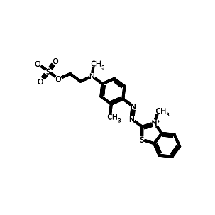 Cc1cc(N(C)CCOS(=O)(=O)[O-])ccc1N=Nc1sc2ccccc2[n+]1C